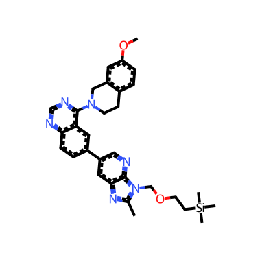 COc1ccc2c(c1)CN(c1ncnc3ccc(-c4cnc5c(c4)nc(C)n5COCC[Si](C)(C)C)cc13)CC2